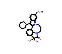 CC1(C)C(=O)N2CCCn3c(c(C4CCCCC4)c4ccc(C(=O)O)cc43)-c3cccc1c32